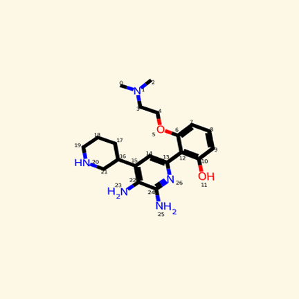 CN(C)CCOc1cccc(O)c1-c1cc(C2CCCNC2)c(N)c(N)n1